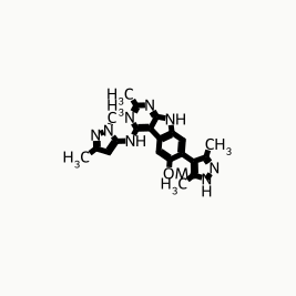 COc1cc2c(cc1-c1c(C)n[nH]c1C)[nH]c1nc(C)nc(Nc3cc(C)nn3C)c12